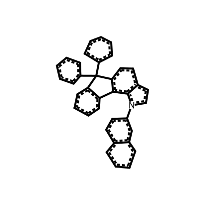 c1ccc(C2(c3ccccc3)c3ccccc3-c3c2ccc2ccn(-c4ccc5ccccc5c4)c32)cc1